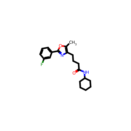 Cc1oc(-c2cccc(F)c2)nc1CCCC(=O)NC1CCCCC1